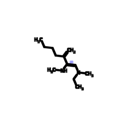 C=C(CCCC)/C(=C/N(C)CC)NC